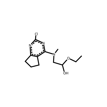 CCOC(O)CN(C)c1nc(Cl)nc2c1CCC2